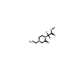 NCN1CCN(C(F)(F)C(=O)OF)C(=O)C1